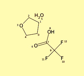 C1CCOC1.O.O=C(O)C(F)(F)F